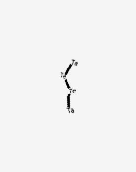 [Ta][Te][Te][Ta]